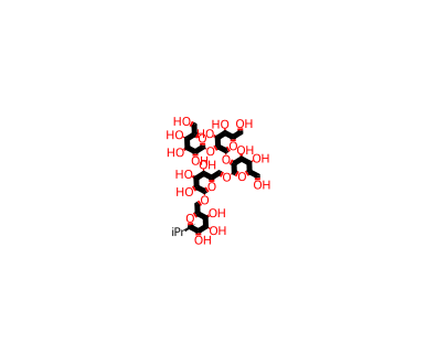 CC(C)[C@H]1OC(CO[C@H]2OC(CO[C@H]3OC(CO)[C@@H](O)[C@H](O)C3O[C@H]3OC(CO)[C@@H](O)[C@H](O)C3O[C@H]3OC(CO)[C@@H](O)[C@H](O)C3O)[C@@H](O)[C@H](O)C2O)[C@@H](O)[C@H](O)C1O